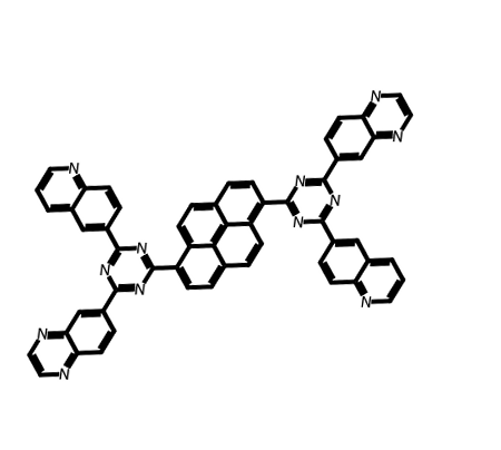 c1cnc2ccc(-c3nc(-c4ccc5nccnc5c4)nc(-c4ccc5ccc6c(-c7nc(-c8ccc9ncccc9c8)nc(-c8ccc9nccnc9c8)n7)ccc7ccc4c5c76)n3)cc2c1